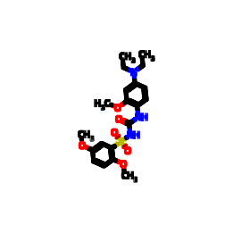 CCN(CC)c1ccc(NC(=O)NS(=O)(=O)c2cc(OC)ccc2OC)c(OC)c1